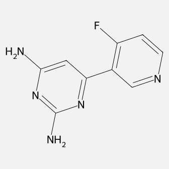 Nc1cc(-c2cnccc2F)nc(N)n1